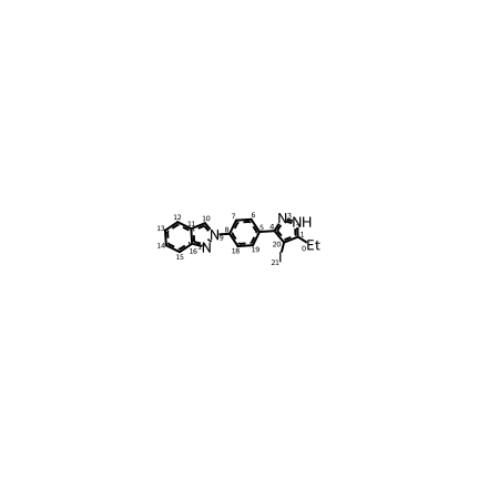 CCc1[nH]nc(-c2ccc(-n3cc4ccccc4n3)cc2)c1I